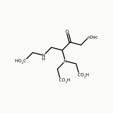 CCCCCCCCCCCC(=O)C(CNCC(=O)O)N(CC(=O)O)CC(=O)O